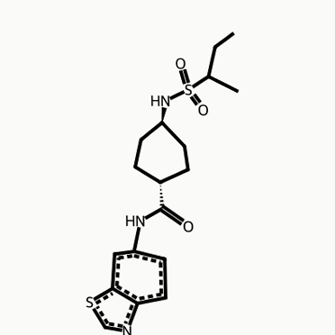 CCC(C)S(=O)(=O)N[C@H]1CC[C@H](C(=O)Nc2ccc3ncsc3c2)CC1